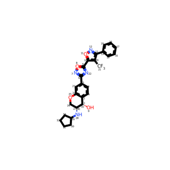 O[C@H]1c2ccc(-c3noc(-c4onc(-c5ccccc5)c4C(F)(F)F)n3)cc2OC[C@H]1NC1CCCC1